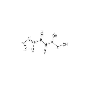 O=C(C(=O)C(O)CO)c1ccco1